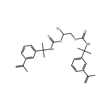 C=C(C)c1cccc(C(C)(C)NC(=O)OCC(CC)OC(=O)NC(C)(C)c2cccc(C(=C)C)c2)c1